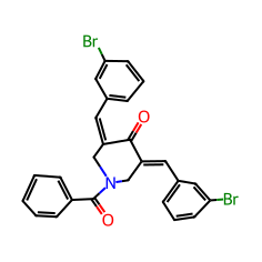 O=C1C(=Cc2cccc(Br)c2)CN(C(=O)c2ccccc2)CC1=Cc1cccc(Br)c1